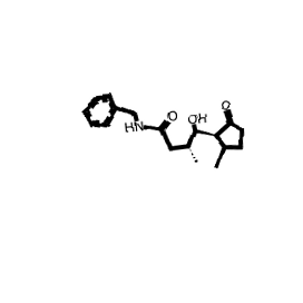 CC1CCC(=O)[C@@H]1C(O)[C@H](C)CC(=O)NCc1ccccc1